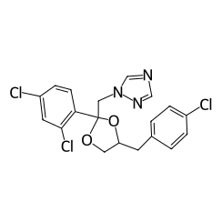 Clc1ccc(CC2COC(Cn3cncn3)(c3ccc(Cl)cc3Cl)O2)cc1